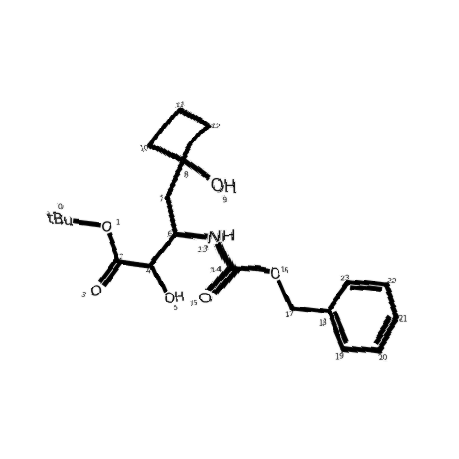 CC(C)(C)OC(=O)C(O)C(CC1(O)CCC1)NC(=O)OCc1ccccc1